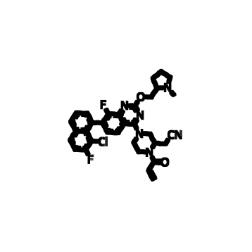 C=CC(=O)N1CCN(c2nc(OCC3CCCN3C)nc3c(F)c(-c4cccc5ccc(F)c(Cl)c45)ccc23)CC1CC#N